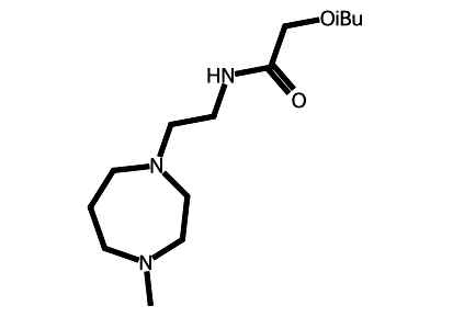 CC(C)COCC(=O)NCCN1CCCN(C)CC1